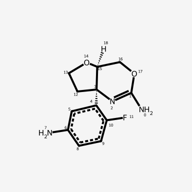 NC1=N[C@@]2(c3cc(N)ccc3F)CCO[C@H]2CO1